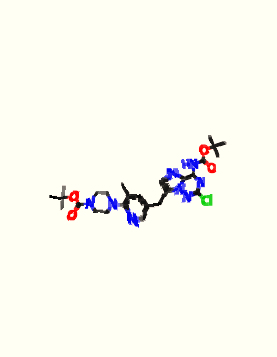 Cc1cc(Cc2cnc3c(NC(=O)OC(C)(C)C)nc(Cl)nn23)cnc1N1CCN(C(=O)OC(C)(C)C)CC1